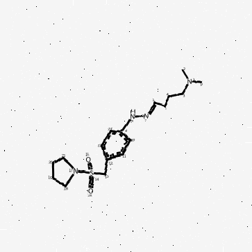 CN(C)CCC/C=N/Nc1ccc(CS(=O)(=O)N2CCCC2)cc1